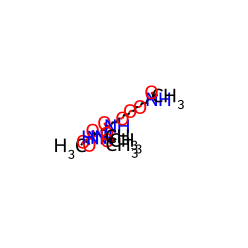 COC(=O)CNC(=O)[C@H](CCC(=O)NCCCOCCOCCOCCCNC(C)=O)NC(=O)OC(C)(C)C